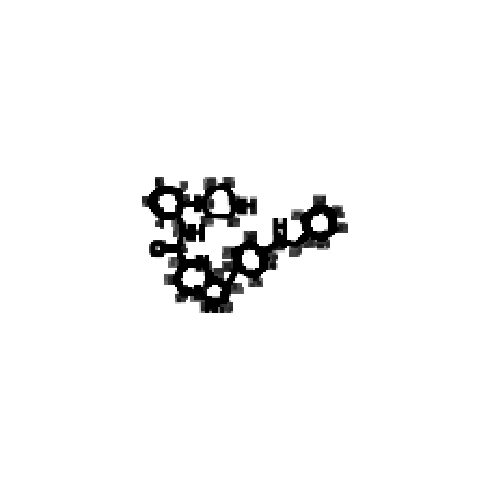 O=C(Nc1ccccc1N1CCNCC1)c1ccn2ncc(-c3ccc(NCc4ccccc4)cc3)c2n1